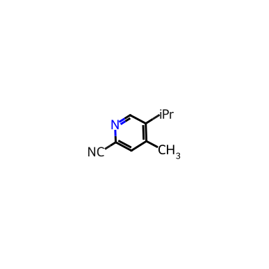 Cc1cc(C#N)ncc1C(C)C